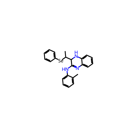 Cc1ccccc1NC1=Nc2ccccc2NC1C(C)[Se]c1ccccc1